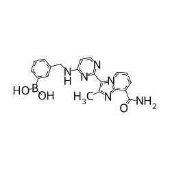 Cc1nc2c(C(N)=O)cccn2c1-c1nccc(NCc2cccc(B(O)O)c2)n1